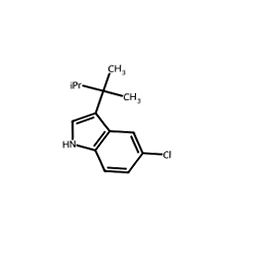 CC(C)C(C)(C)c1c[nH]c2ccc(Cl)cc12